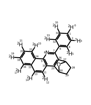 [2H]c1c([2H])c([2H])c(-c2nc3c(c([2H])c([2H])c4c([2H])c([2H])c([2H])c([2H])c43)c3c2C2CCC3O2)c([2H])c1[2H]